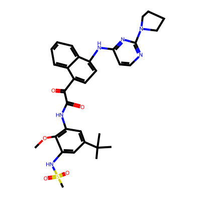 COc1c(NC(=O)C(=O)c2ccc(Nc3ccnc(N4CCCC4)n3)c3ccccc23)cc(C(C)(C)C)cc1NS(C)(=O)=O